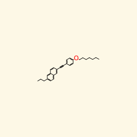 CCCCCCCOc1ccc(C#Cc2ccc3cc(CCC)ccc3c2)cc1